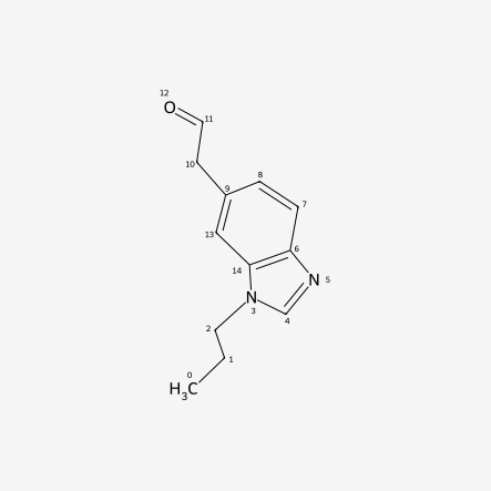 CCCn1cnc2ccc(CC=O)cc21